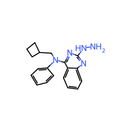 NNc1nc(N(CC2CCC2)c2ccccc2)c2ccccc2n1